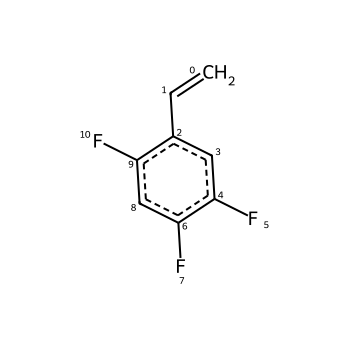 C=Cc1cc(F)c(F)cc1F